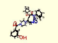 O=C(c1cccc(O)c1)N1CCN(c2cnn(-c3ccccc3)c(=O)c2OC2CCCC2)CC1